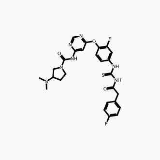 CN(C)C1CCN(C(=O)Nc2cc(Oc3ccc(NC(=S)NC(=O)Cc4ccc(F)cc4)cc3F)ncn2)C1